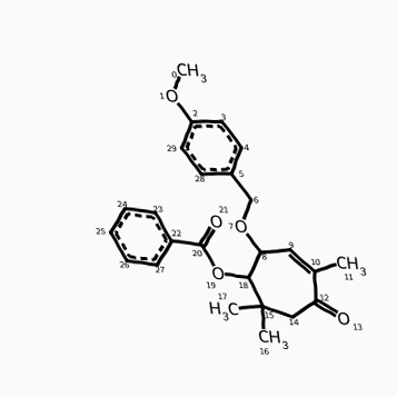 COc1ccc(COC2C=C(C)C(=O)CC(C)(C)C2OC(=O)c2ccccc2)cc1